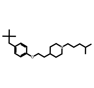 CC(C)CCCN1CCC(CCOc2ccc(CC(C)(C)C)cc2)CC1